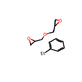 C(OCC1CO1)C1CO1.CCc1ccccc1